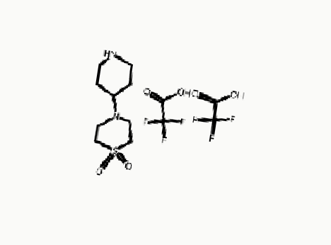 O=C(O)C(F)(F)F.O=C(O)C(F)(F)F.O=S1(=O)CCN(C2CCNCC2)CC1